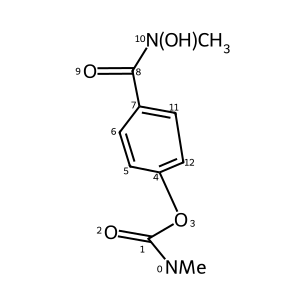 CNC(=O)Oc1ccc(C(=O)N(C)O)cc1